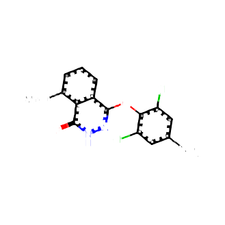 COc1cccc2c(Oc3c(Cl)cc([N+](=O)[O-])cc3Cl)n[nH]c(=O)c12